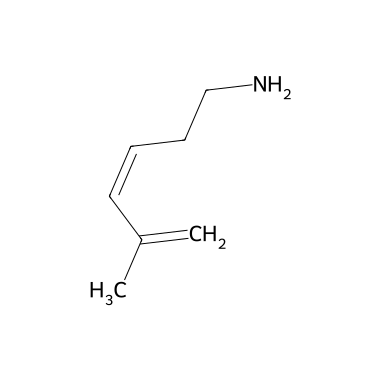 C=C(C)/C=C\CCN